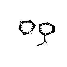 COc1ccccc1.c1cnccn1